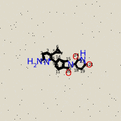 Nc1ccc(C2CC2)c(-c2ccc3c(c2)CN(C2CCC(=O)NC2=O)C3=O)n1